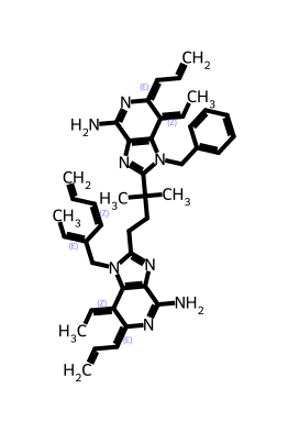 C=C/C=C\C(=C/C)Cn1c(CCC(C)(C)c2nc3c(N)nc(=C/C=C)/c(=C\C)c3n2Cc2ccccc2)nc2c(N)nc(=C/C=C)/c(=C\C)c21